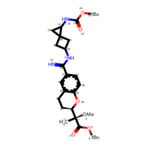 CO[C@](C)(C(=O)OC(C)(C)C)[C@H]1CCc2cc(C(=N)NC3CC4(C3)CC4NC(=O)OC(C)(C)C)ccc2O1